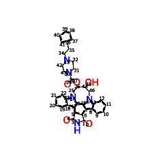 O=C1NC(=O)c2c1c1c3ccccc3n3c1c1c2c2ccccc2n1CC(OC(=O)N1CCN(CCc2ccccc2)CC1)C(O)C3